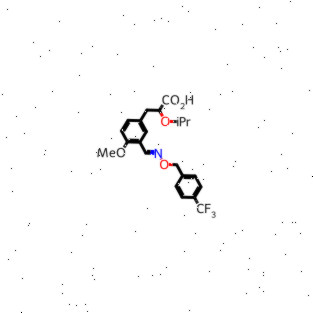 COc1ccc(CC(OC(C)C)C(=O)O)cc1C=NOCc1ccc(C(F)(F)F)cc1